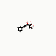 OC(C#Cc1ccccc1)C1=COCC1